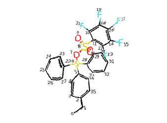 CCc1ccc(S(OS(=O)(=O)c2c(F)c(F)c(F)c(F)c2F)(c2ccccc2)c2ccccc2)cc1